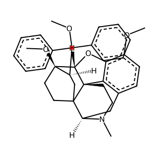 COc1ccc2c3c1O[C@H]1[C@@]4(OC)CCC5(C[C@@H]4C(OC)(c4ccccc4)c4ccccc4)[C@@H](C2)N(C)CC[C@]315